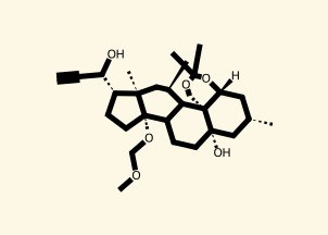 C#CC(O)[C@H]1CC[C@]2(OCOC)C3CC[C@]4(O)C[C@@H](C)C[C@H]5OC(C)(C)OC[C@]54C3[C@H](C)C[C@]12C